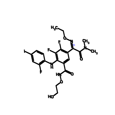 CCO/N=C(/C(=O)N(C)C)c1cc(C(=O)NOCCO)c(Nc2ccc(I)cc2F)c(F)c1F